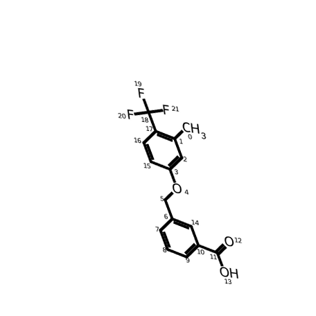 Cc1cc(OCc2cccc(C(=O)O)c2)ccc1C(F)(F)F